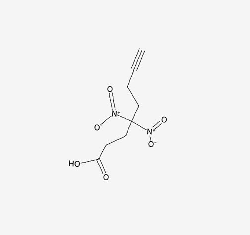 C#CCCC(CCC(=O)O)([N+](=O)[O-])[N+](=O)[O-]